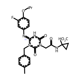 Cc1ccc(Cn2c(=O)n(CC(=O)NC3(C(=O)O)CC3)c(=O)[nH]/c2=N\c2ccc(OC(C)C)c(F)c2)cc1